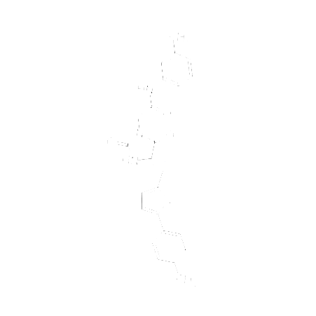 Cc1ccc(-c2ccc(/C=C3\NC(=O)N(CC(=O)Nc4cccc(C)c4)C3=O)s2)cc1